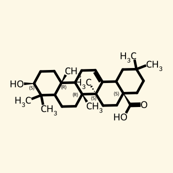 CC1(C)CC[C@]2(C(=O)O)CC[C@]3(C)C(=CCC4[C@@]5(C)CC[C@H](O)C(C)(C)C5CC[C@]43C)C2C1